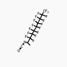 CC(N=C=O)C(F)(F)C(F)(F)C(F)(F)C(F)(F)C(F)(F)C(F)(F)C(F)(F)C(F)(F)F